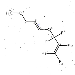 COC/C=C/OC(F)(F)C(F)=C(F)F